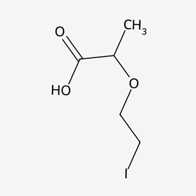 CC(OCCI)C(=O)O